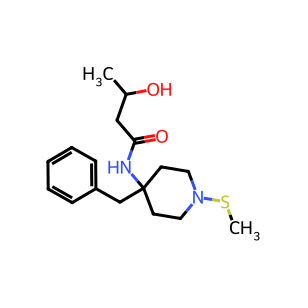 CSN1CCC(Cc2ccccc2)(NC(=O)CC(C)O)CC1